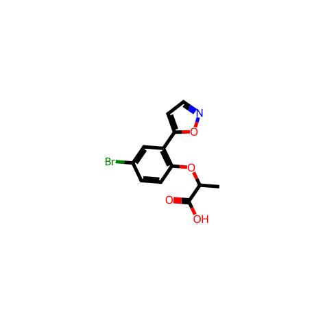 CC(Oc1ccc(Br)cc1-c1ccno1)C(=O)O